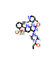 C=CC(=O)N1C[C@H](C)N(c2nc(=O)n(-c3c(C)ccnc3C(C)C)c3nc(-c4ccccc4S(C)(=O)=O)c(Cl)cc23)C[C@H]1C